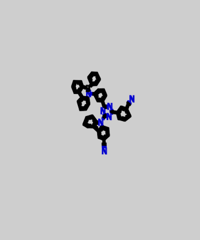 N#Cc1cccc(-c2nc(-c3cccc(N4B(c5ccccc5)c5ccccc5-c5ccccc54)c3)nc(-n3c4ccccc4c4cc(C#N)ccc43)n2)c1